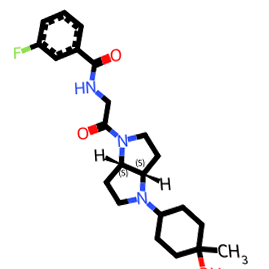 CC1(O)CCC(N2CC[C@H]3[C@@H]2CCN3C(=O)CNC(=O)c2cccc(F)c2)CC1